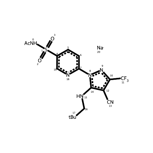 CC(=O)NS(=O)(=O)c1ccc(-n2nc(C(F)(F)F)c(C#N)c2NCC(C)(C)C)nc1.[Na]